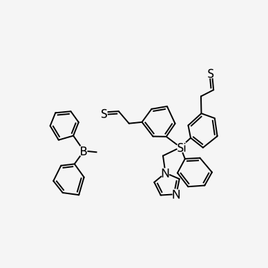 CB(c1ccccc1)c1ccccc1.S=CCc1cccc([Si](Cn2ccnc2)(c2ccccc2)c2cccc(CC=S)c2)c1